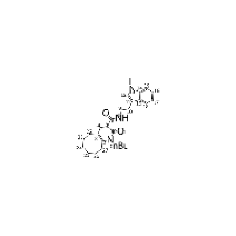 CCCCn1c2c(cc(C(=O)NCCc3c[nH]c4ccccc34)c1=O)CCCCCC2